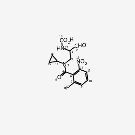 O=CC(CN(C(=O)c1c(F)cccc1[N+](=O)[O-])C1CC1)NC(=O)O